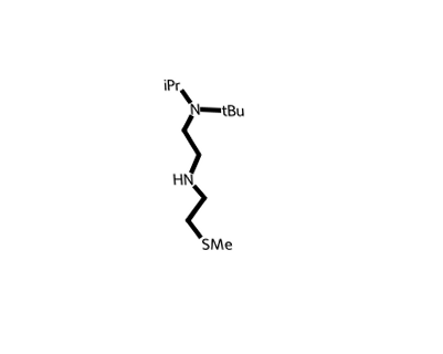 CSCCNCCN(C(C)C)C(C)(C)C